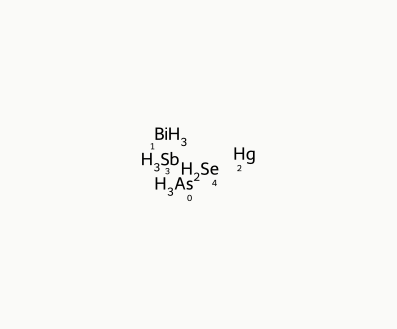 [AsH3].[BiH3].[Hg].[SbH3].[SeH2]